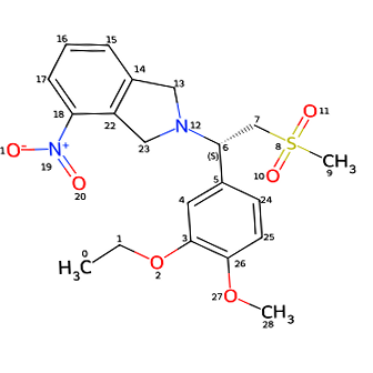 CCOc1cc([C@@H](CS(C)(=O)=O)N2Cc3cccc([N+](=O)[O-])c3C2)ccc1OC